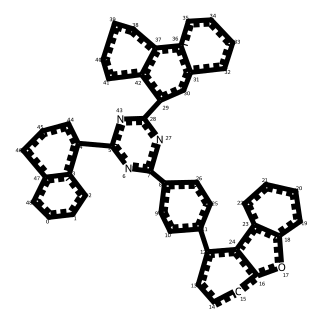 c1ccc2c(-c3nc(-c4ccc(-c5cccc6oc7ccccc7c56)cc4)nc(-c4cc5ccccc5c5ccccc45)n3)cccc2c1